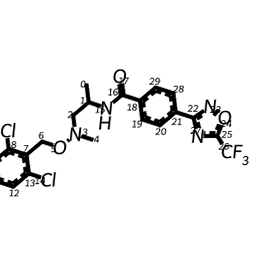 CC(CN(C)OCc1c(Cl)cccc1Cl)NC(=O)c1ccc(-c2noc(C(F)(F)F)n2)cc1